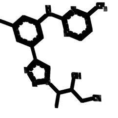 Cc1cc(Nc2nccc(C(F)(F)F)n2)cc(-c2cn(C(C)C(O)CC#N)nn2)c1